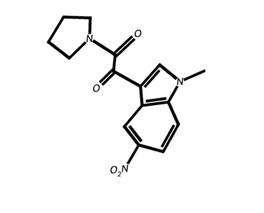 Cn1cc(C(=O)C(=O)N2CCCC2)c2cc([N+](=O)[O-])ccc21